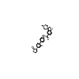 Cc1cc(N2CCCC2=O)ccc1-c1ccc(NC(=O)c2ccc3c(c2)C2(CCN(C)CC2)CO3)cc1